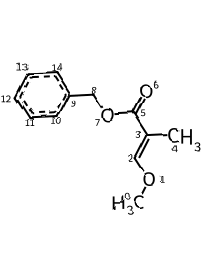 COC=C(C)C(=O)OCc1ccccc1